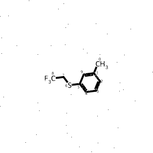 Cc1cccc(SCC(F)(F)F)c1